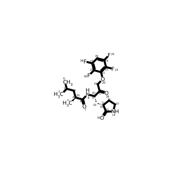 CC(C)C[C@H](C)C(=O)N[C@@H](C[C@@H]1CCNC1=O)C(=O)COc1c(F)c(F)cc(F)c1F